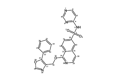 O=S(=O)(Nc1ccncn1)c1ccc2c(OCc3ncoc3-c3ccccc3)nccc2c1